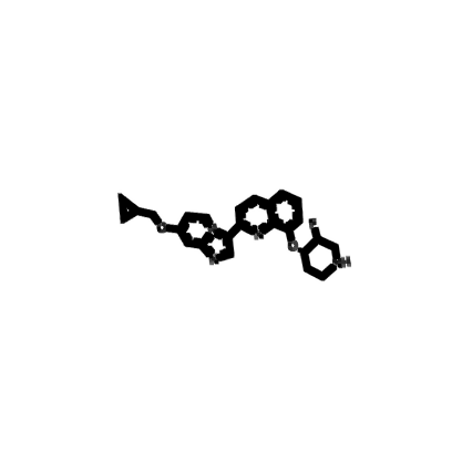 FC1CNCC[C@@H]1Oc1cccc2ccc(-c3cnc4cc(OCC5CC5)ccn34)nc12